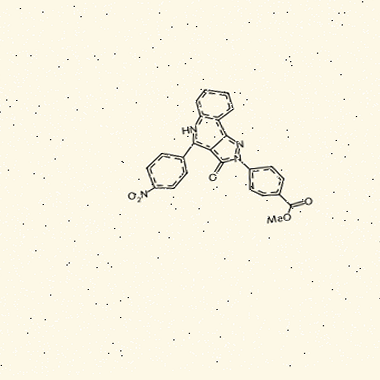 COC(=O)c1ccc(-n2nc3c4ccccc4[nH]c(-c4ccc([N+](=O)[O-])cc4)c-3c2=O)cc1